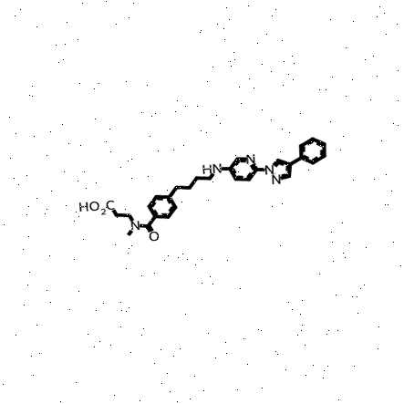 CN(CCC(=O)O)C(=O)c1ccc(CCCCNc2ccc(-n3cc(-c4ccccc4)cn3)nc2)cc1